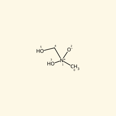 C[N+]([O-])(O)CO